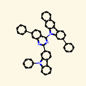 c1ccc(-c2ccc3c(-n4c5cc(-c6ccccc6)ccc5c5cc6ccccc6cc54)nc(-c4ccc5c6ccccc6n(-c6ccccc6)c5c4)nc3c2)cc1